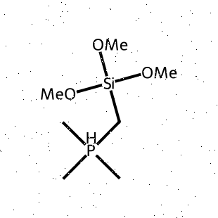 CO[Si](C[PH](C)(C)C)(OC)OC